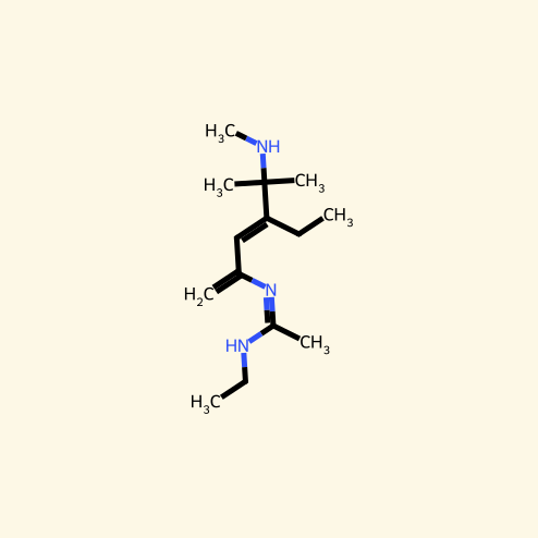 C=C(/C=C(\CC)C(C)(C)NC)/N=C(/C)NCC